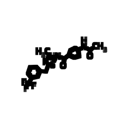 CC(=O)Nc1ccc(C(=O)Nc2sc(Cc3cccc(C(F)(F)F)c3)nc2C)cc1